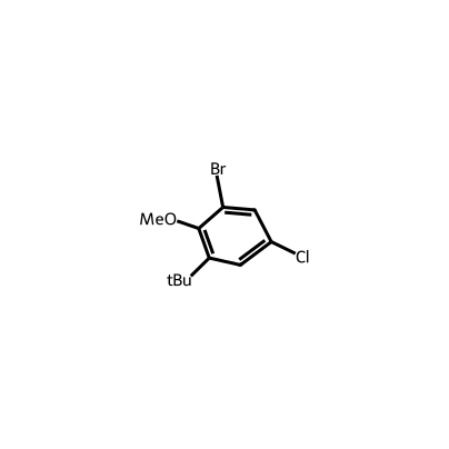 COc1c(Br)cc(Cl)cc1C(C)(C)C